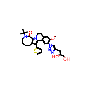 COc1cc2c(cc1-n1cc(C[C@@H](O)CO)nn1)-c1c(-c3cccs3)c3c(n1CC2)C(=O)N(C(C)(C)C)CCCC3